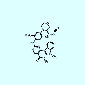 C#CNC(=O)Nc1cc(Nc2ncc(C(=O)OC(C)C)c(-c3cn(C)c4ccccc34)n2)c(OC)cc1N1CCOCC1